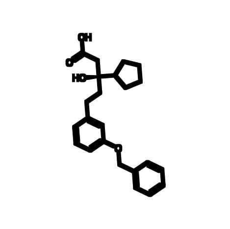 O=C(O)C[C@@](O)(CCc1cccc(OCc2ccccc2)c1)C1CCCC1